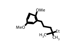 CCC(C)(C)[CH]CCc1cc(OC)ccc1OC